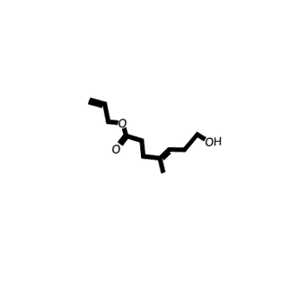 C=CCOC(=O)CCC(C)=CCCO